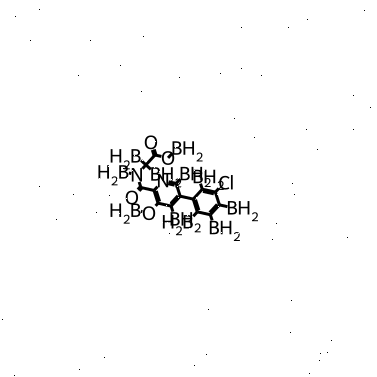 BOC(=O)C(B)(B)N(B)C(=O)c1nc(B)c(-c2c(B)c(B)c(B)c(Cl)c2B)c(B)c1OB